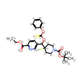 CCOC(=O)c1ccc(C(OC(=S)Oc2ccccc2)C2(F)CCN(C(=O)OC(C)(C)C)CC2)cn1